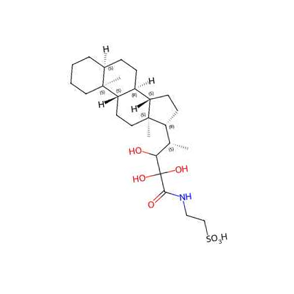 C[C@H](C(O)C(O)(O)C(=O)NCCS(=O)(=O)O)[C@H]1CC[C@H]2[C@@H]3CC[C@@H]4CCCC[C@]4(C)[C@H]3CC[C@]12C